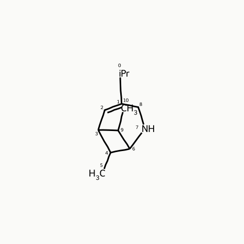 CC(C)C1=CC2C(C)C(NC1)C2C